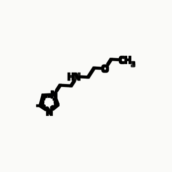 CCOCCNCCn1c[c]nc1